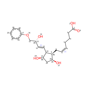 O=C(O)CCC/C=C\C[C@@H]1C(/C=C/[C@@H](O)COc2ccccc2)[C@H](O)C[C@@H]1O